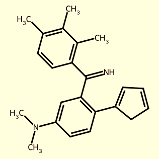 Cc1ccc(C(=N)c2cc(N(C)C)ccc2C2=CC=CC2)c(C)c1C